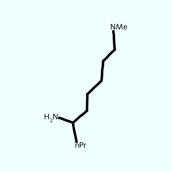 CCCC(N)CCCCCNC